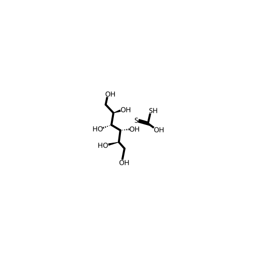 OC(=S)S.OC[C@@H](O)[C@@H](O)[C@H](O)[C@H](O)CO